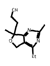 CCc1nc(C)nc2c1COC2(C)CCC#N